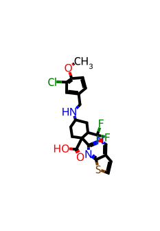 COc1ccc(CNC2CCC(C(=O)O)(c3ncc4ccsc4n3)C(C(F)(F)F)C2)cc1Cl